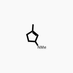 CNC1C=C(C)CC1